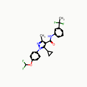 Cc1nn(-c2ccc(OC(F)F)cc2)c(C2CC2)c1C(=O)Nc1cccc(C(C)(F)F)c1